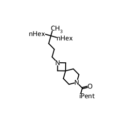 CCCCCCC(C)(CCCCCC)CCCN1CC2(CCN(C(=O)C(C)CCC)CC2)C1